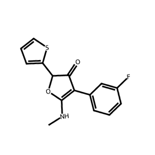 CNC1=C(c2cccc(F)c2)C(=O)C(c2cccs2)O1